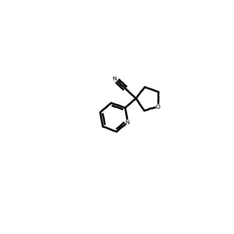 N#CC1(c2ccccn2)CCOC1